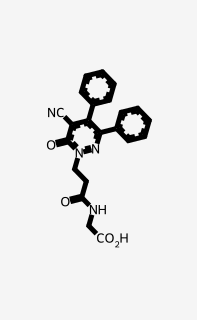 N#Cc1c(-c2ccccc2)c(-c2ccccc2)nn(CCC(=O)NCC(=O)O)c1=O